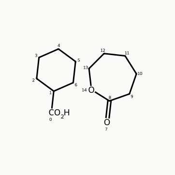 O=C(O)C1CCCCC1.O=C1CCCCCO1